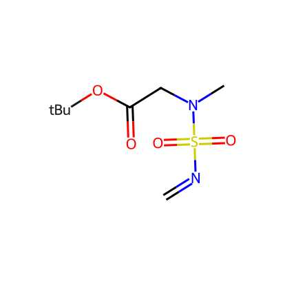 C=NS(=O)(=O)N(C)CC(=O)OC(C)(C)C